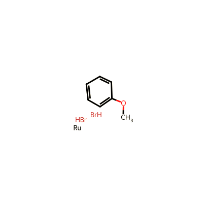 Br.Br.COc1ccccc1.[Ru]